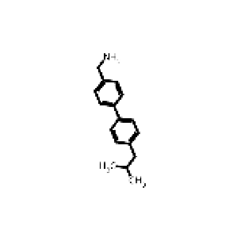 CC(C)Cc1ccc(-c2ccc(CN)cc2)cc1